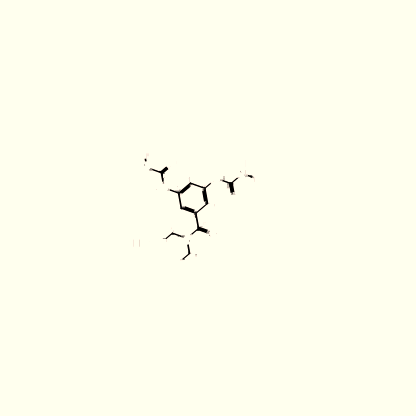 CCCCCCCCCCNC(=O)Oc1cc(OC(=O)NCCCCCCCCCC)cc(C(=O)N(CC(=O)O)CC(=O)O)c1